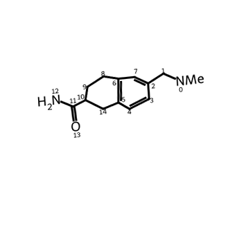 CNCc1ccc2c(c1)CCC(C(N)=O)C2